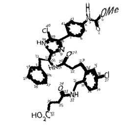 COC(=O)Nc1ccc(-c2nc([C@H](Cc3ccccc3)NC(=O)CCc3cc(Cl)ccc3CNC(=O)CCC(=O)O)[nH]c2Cl)cc1